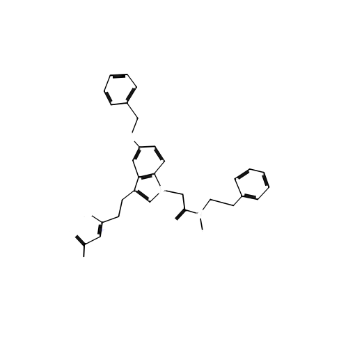 C/C(=C\C(=O)O)CCc1cn(CC(=O)N(C)CCc2ccccc2)c2ccc(OCc3ccccc3)cc12